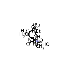 C=N/C(=N\c1c(F)c(Cl)nc2c1NCC(CC)N(C(=O)OC(C)(C)C)CC(C)[C@H](C)C2)C(=O)C=O